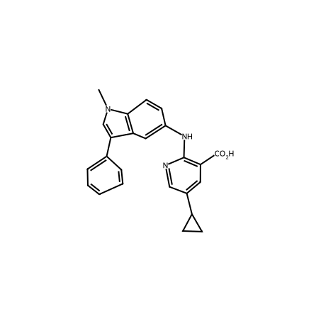 Cn1cc(-c2ccccc2)c2cc(Nc3ncc(C4CC4)cc3C(=O)O)ccc21